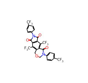 O=C1c2c(c(C(F)(F)F)c3c(c2C(F)(F)F)C(=O)N(c2ccc(C(F)(F)F)cc2)C3=O)COCN1c1ccc(C(F)(F)F)cc1